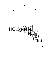 CC(C)(C)OC(=O)N[C@@H]1CCC[C@H]1C(=O)NNC(=O)[C@@H]1CCC2CN1C(=O)N2OS(=O)(=O)O